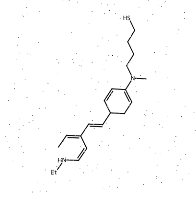 C/C=C(\C=C/NCC)/C=C/C1C=CC(N(C)CCCCS)=CC1